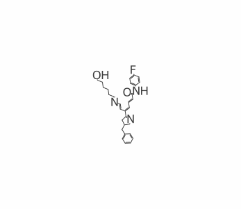 O=C(/C=C/C=C(\C=C\N=C\CCCCCO)C1=NCC(Cc2ccccc2)C1)Nc1ccc(F)cc1